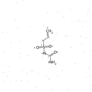 C=CCS(=O)(=O)[N]C(N)=O